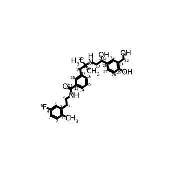 Cc1ccc(F)cc1CCNC(=O)c1cccc(CC(C)(C)NC[C@H](O)c2ccc(O)c(CO)c2)c1